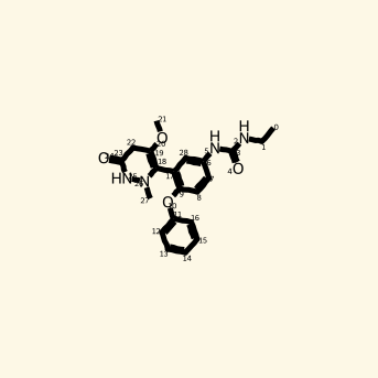 CCNC(=O)Nc1ccc(Oc2ccccc2)c(C2=C(OC)CC(=O)NN2C)c1